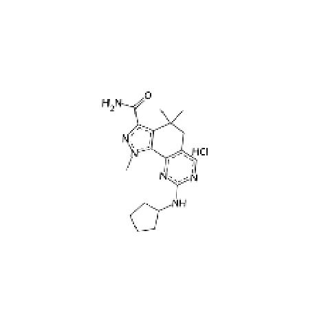 Cl.Cn1nc(C(N)=O)c2c1-c1nc(NC3CCCC3)ncc1CC2(C)C